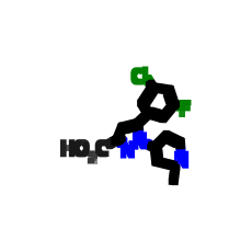 Cc1cc(-n2nc(C(=O)O)cc2-c2cc(F)cc(Cl)c2)ccn1